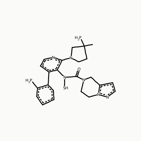 CC1(P)CCN(c2nccc(-c3ccccc3P)c2N(S)C(=O)N2CCn3nccc3C2)C1